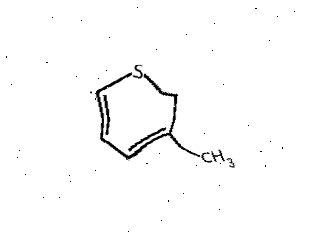 CC1=CC=[C]SC1